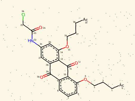 CC(=O)CCCOc1cccc2c1C(=O)c1c(OCCCC(C)=O)cc(NC(=O)CCl)cc1C2=O